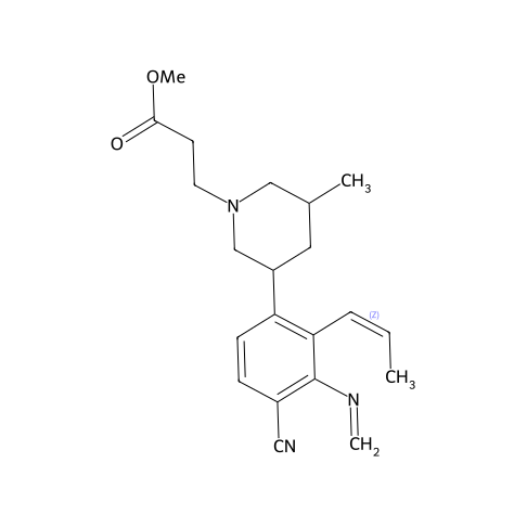 C=Nc1c(C#N)ccc(C2CC(C)CN(CCC(=O)OC)C2)c1/C=C\C